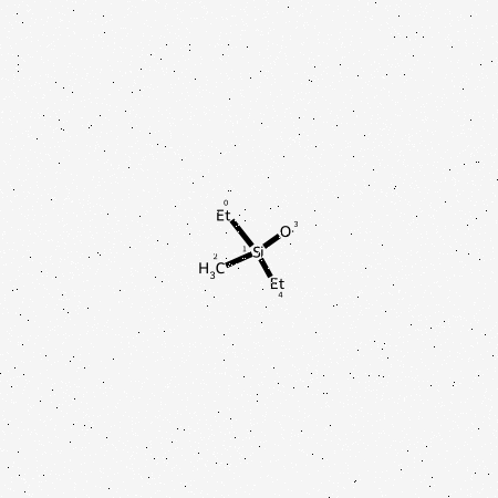 CC[Si](C)([O])CC